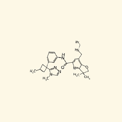 CC(C)CNCc1cc(C(=O)Nc2cccc(C3(c4nncn4C)CC(C)C3)c2)nc2c1OCC2(C)C